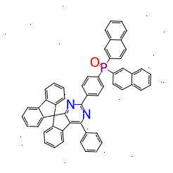 O=P(c1ccc(-c2nc(-c3ccccc3)c3c(n2)C2(c4ccccc4-c4ccccc42)c2ccccc2-3)cc1)(c1ccc2ccccc2c1)c1ccc2ccccc2c1